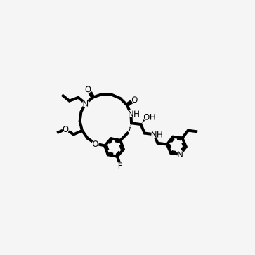 CCCN1CCC(COC)COc2cc(F)cc(c2)C[C@@H]([C@H](O)CNCc2cncc(CC)c2)NC(=O)CCCC1=O